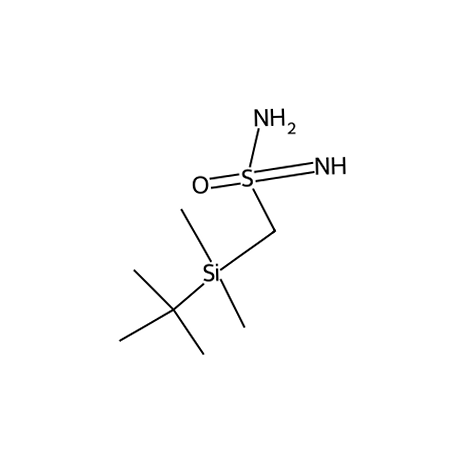 CC(C)(C)[Si](C)(C)CS(=N)(N)=O